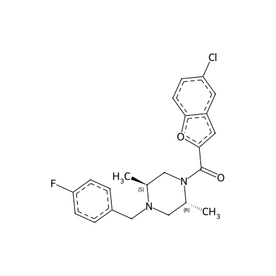 C[C@@H]1CN(Cc2ccc(F)cc2)[C@@H](C)CN1C(=O)c1cc2cc(Cl)ccc2o1